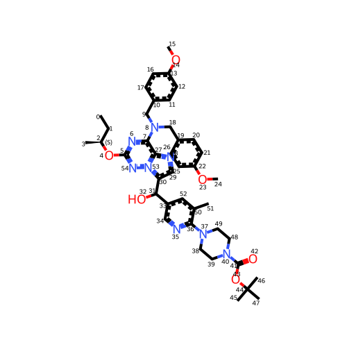 CC[C@H](C)Oc1nc(N(Cc2ccc(OC)cc2)Cc2ccc(OC)cc2)c2ncc(C(O)c3cnc(N4CCN(C(=O)OC(C)(C)C)CC4)c(C)c3)n2n1